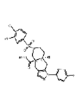 COC(=O)[C@]12Cc3cnn(-c4ccc(F)cc4)c3C[C@@H]1CCN(S(=O)(=O)c1ccc(Cl)c(Cl)c1)C2